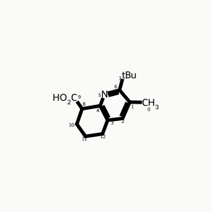 Cc1cc2c(nc1C(C)(C)C)C(C(=O)O)CCC2